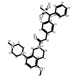 COc1ccc(N2CCN(C)CC2)c2c1CCN(C(=O)Cc1ccc(C(c3ccccc3)S(C)(=O)=O)cc1)C2